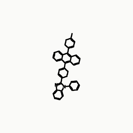 CC1=CC=C(c2c3ccccc3c(C3=CC=C(c4nc5ccccc5n4-c4ccccc4)CC3)c3ccccc23)CC1